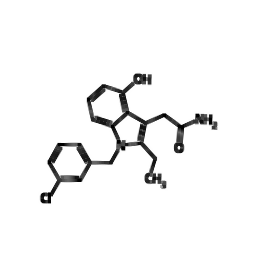 CCc1c(CC(N)=O)c2c(O)cccc2n1Cc1cccc(Cl)c1